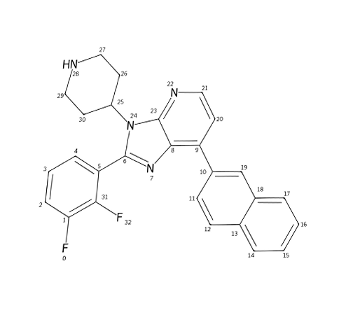 Fc1cccc(-c2nc3c(-c4ccc5ccccc5c4)ccnc3n2C2CCNCC2)c1F